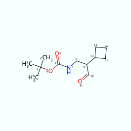 CC(C)(C)OC(=O)NCC(C=O)C1CCC1